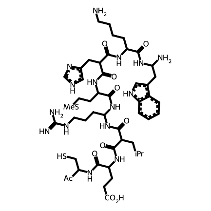 CSCCC(NC(=O)C(Cc1c[nH]cn1)C(=O)NC(CCCCN)C(=O)NC(N)Cc1c[nH]c2ccccc12)C(=O)NC(CCCNC(=N)N)NC(=O)C(CC(C)C)C(=O)NC(CCC(=O)O)C(=O)NC(CS)C(C)=O